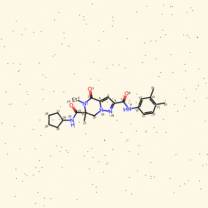 CCN1C(=O)c2cc(C(=O)Nc3ccc(C)c(C)c3)nn2CC1(C)C(=O)NC1CCCC1